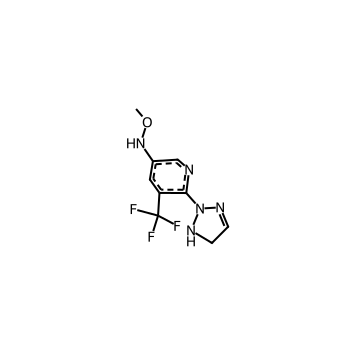 CONc1cnc(N2N=CCN2)c(C(F)(F)F)c1